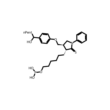 CCCCCC(O)c1ccc(OC[C@H]2CN(c3ccccc3)C(=S)[C@@H]2CCCCCCOP(O)O)cc1